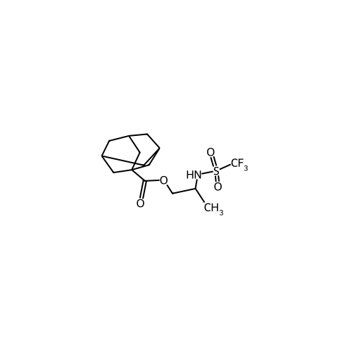 CC(COC(=O)C12CC3CC(CC(C3)C1)C2)NS(=O)(=O)C(F)(F)F